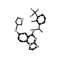 Cc1c(C(C)Nc2nc3nccn3c3ccc(OC4CCOC4)cc23)cccc1C(F)(F)F